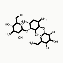 NCC1O[C@H](O[C@@H]2C(N)C[C@@H](N)[C@@H](OC3O[C@H](CO)[C@@H](O)C(N)[C@H]3O)C2O)[C@@H](O)C(O)[C@@H]1O